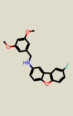 COc1cc(CNc2ccc3oc4ccc(F)cc4c3c2)cc(OC)c1